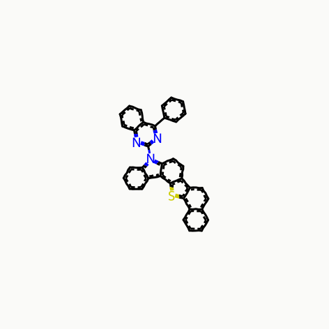 c1ccc(-c2nc(-n3c4ccccc4c4c5sc6c7ccccc7ccc6c5ccc43)nc3ccccc23)cc1